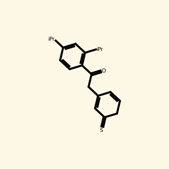 CC(C)c1[c]c(C(C)C)c(C(=O)CC2=CC(=S)CC=C2)cc1